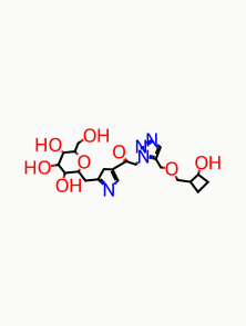 O=C(Cn1nncc1COCC1CCC1O)C1=CN=C(CC2OC(CO)C(O)C(O)C2O)C1